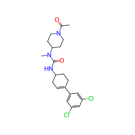 CC(=O)N1CCC(N(C)C(=O)NC2CC=C(c3cc(Cl)cc(Cl)c3)CC2)CC1